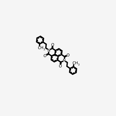 Cc1ccccc1CCN1C(=O)c2ccc3c4c(ccc(c24)C1=O)C(=O)N(CCc1ccccc1C)C3=O